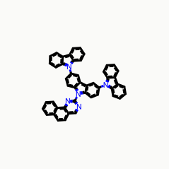 c1ccc2c(c1)ccc1cnc(-n3c4ccc(-n5c6ccccc6c6ccccc65)cc4c4cc(-n5c6ccccc6c6ccccc65)ccc43)nc12